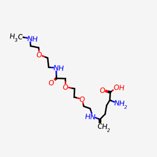 C=C(CCC(N)C(=O)O)NCCOCCOCC(=O)NCCOCCNC